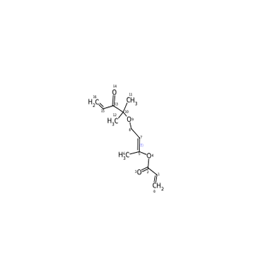 C=CC(=O)O/C(C)=C/COC(C)(C)C(=O)C=C